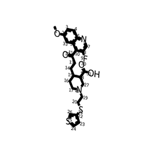 COc1ccc2ncc(F)c(C(=O)CCC3CCN(CCSc4ccsc4)CC3C(=O)O)c2c1